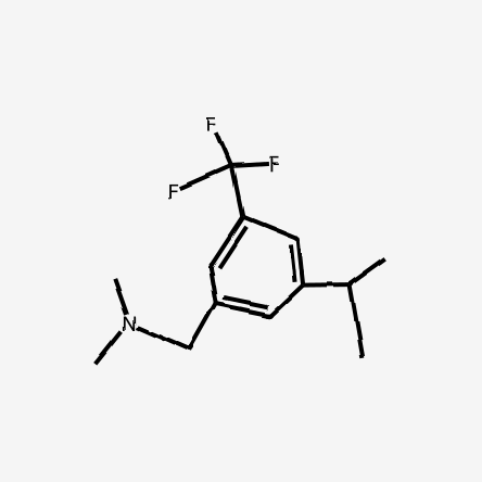 CC(C)c1cc(CN(C)C)cc(C(F)(F)F)c1